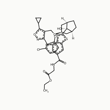 CCOC(=O)CNC(=O)c1cc(F)c2nc([C@@]3(O)[C@@H]4CC[C@H]3C[C@@H](OCc3c(-c5c(Cl)cccc5Cl)noc3C3CC3)C4)sc2c1